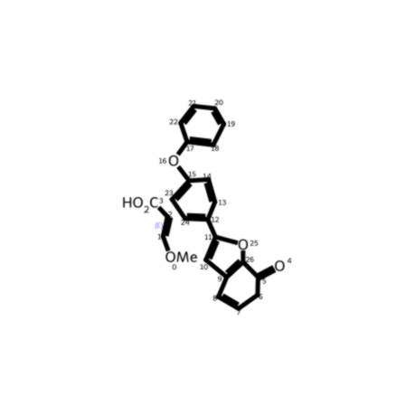 CO/C=C/C(=O)O.O=C1CC=Cc2cc(-c3ccc(Oc4ccccc4)cc3)oc21